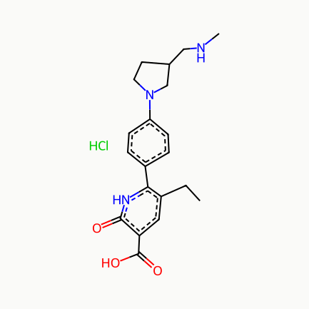 CCc1cc(C(=O)O)c(=O)[nH]c1-c1ccc(N2CCC(CNC)C2)cc1.Cl